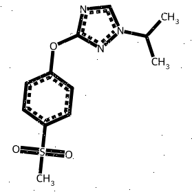 CC(C)n1cnc(Oc2ccc(S(C)(=O)=O)cc2)n1